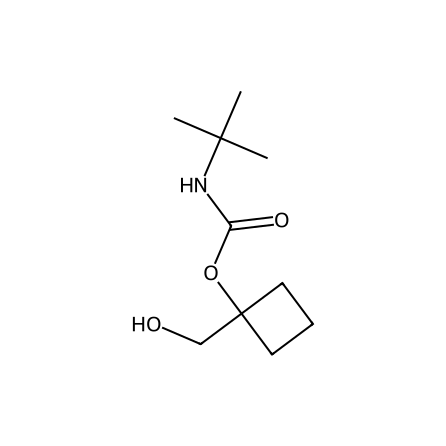 CC(C)(C)NC(=O)OC1(CO)CCC1